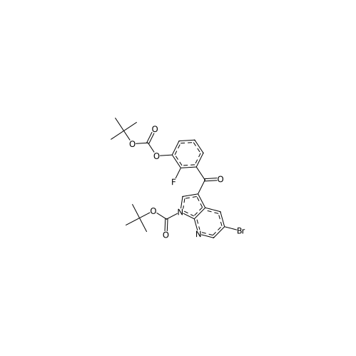 CC(C)(C)OC(=O)Oc1cccc(C(=O)c2cn(C(=O)OC(C)(C)C)c3ncc(Br)cc23)c1F